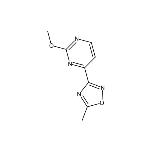 COc1nccc(-c2noc(C)n2)n1